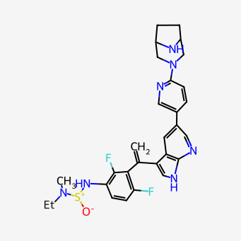 C=C(c1c(F)ccc(N[S+]([O-])N(C)CC)c1F)c1c[nH]c2ncc(-c3ccc(N4CC5CCC(C4)N5)nc3)cc12